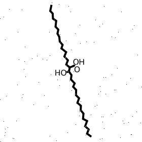 CCCCCCCCCCCCCCCCCC(O)C(CCCCCCCCCCCCCCCC)C(=O)O